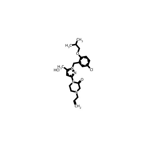 C=CCN1CCN(c2cc(C)n(Cc3cc(Cl)ccc3OCC(C)C)n2)C(=O)C1.Cl